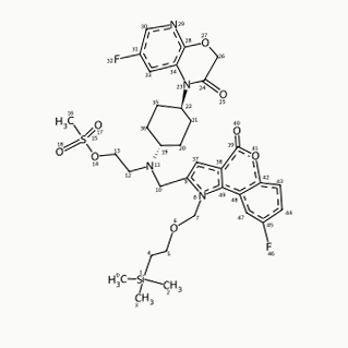 C[Si](C)(C)CCOCn1c(CN(CCOS(C)(=O)=O)[C@H]2CC[C@H](N3C(=O)COc4ncc(F)cc43)CC2)cc2c(=O)oc3ccc(F)cc3c21